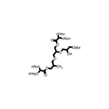 CCCCCCCCCC(CCCCCCC)C(=O)OCC(C)COCC(COC(=O)C(CCCCCC)CCCCCCCCC)OCC(O)COC